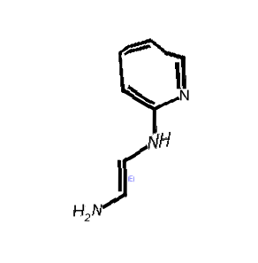 N/C=C/Nc1ccccn1